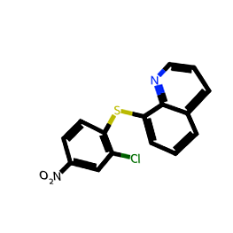 O=[N+]([O-])c1ccc(Sc2cccc3cccnc23)c(Cl)c1